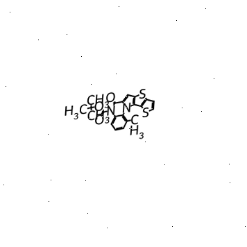 Cc1cccc2c1n1c(cc3sc4ccsc4c31)c(=O)n2C(=O)OC(C)(C)C